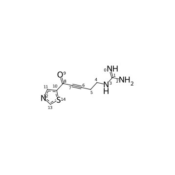 N=C(N)NCCC#CC(=O)c1cncs1